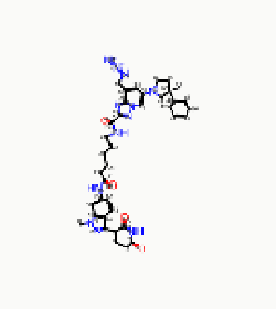 Cn1nc(C2CCC(=O)NC2=O)c2ccc(NC(=O)CCCCCNC(=O)c3nc4c(CN=[N+]=[N-])cc(N5CC[C@](C)(c6ccccc6)C5)cn4n3)cc21